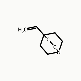 C=CC12CCN(CC1)CC2